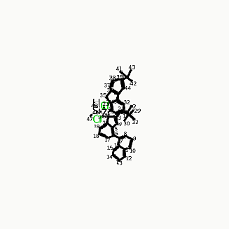 CCCC1=Cc2c(-c3cccc4ccccc34)cccc2[CH]1[Zr]([Cl])([Cl])([c]1cc(C(C)(C)C)cc2c1Cc1ccc(C(C)(C)C)cc1-2)[SiH](C)C